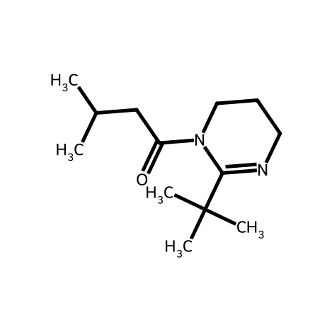 CC(C)CC(=O)N1CCCN=C1C(C)(C)C